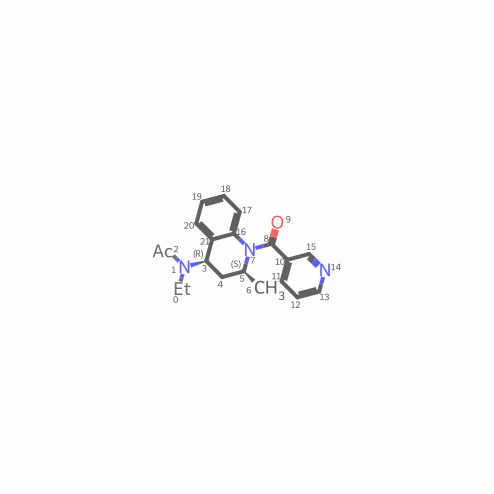 CCN(C(C)=O)[C@@H]1C[C@H](C)N(C(=O)c2cccnc2)c2ccccc21